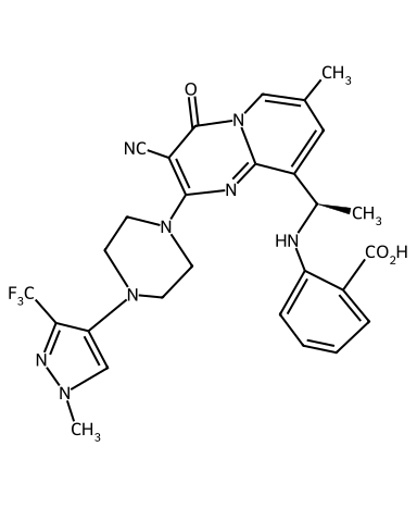 Cc1cc([C@@H](C)Nc2ccccc2C(=O)O)c2nc(N3CCN(c4cn(C)nc4C(F)(F)F)CC3)c(C#N)c(=O)n2c1